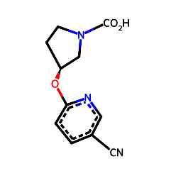 N#Cc1ccc(O[C@H]2CCN(C(=O)O)C2)nc1